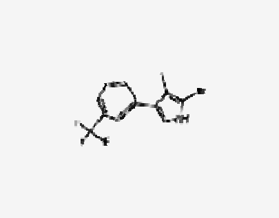 Cc1c(-c2cccc(C(F)(F)F)c2)c[nH]c1Br